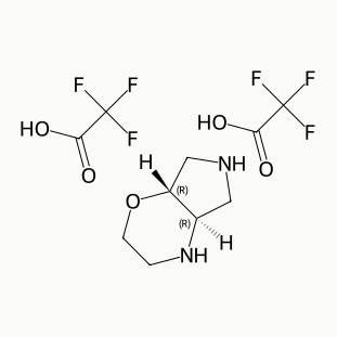 C1CO[C@@H]2CNC[C@H]2N1.O=C(O)C(F)(F)F.O=C(O)C(F)(F)F